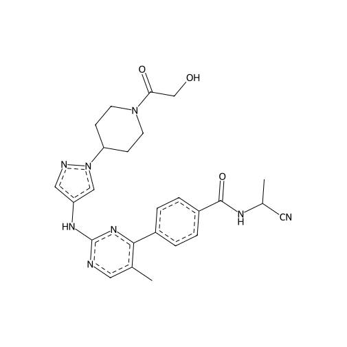 Cc1cnc(Nc2cnn(C3CCN(C(=O)CO)CC3)c2)nc1-c1ccc(C(=O)NC(C)C#N)cc1